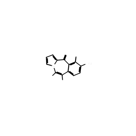 O=c1c2c(O)c(O)ccc2c(O)c(O)n2cccc12